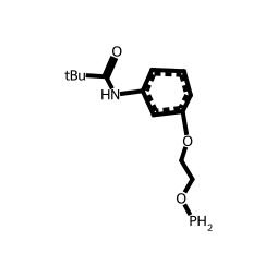 CC(C)(C)C(=O)Nc1cccc(OCCOP)c1